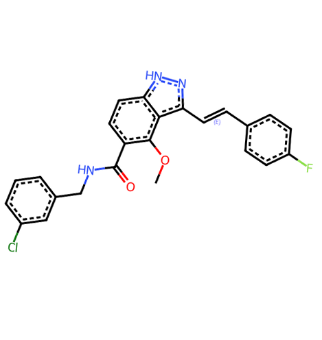 COc1c(C(=O)NCc2cccc(Cl)c2)ccc2[nH]nc(/C=C/c3ccc(F)cc3)c12